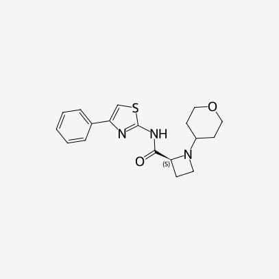 O=C(Nc1nc(-c2ccccc2)cs1)[C@@H]1CCN1C1CCOCC1